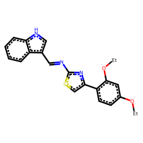 CCOc1ccc(-c2csc(N=Cc3c[nH]c4ccccc34)n2)c(OCC)c1